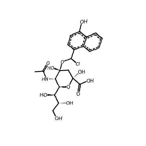 CC(=O)N[C@H]1[C@H]([C@H](O)[C@H](O)CO)O[C@](O)(C(=O)O)C[C@@]1(O)OC(Cl)c1ccc(O)c2ccccc12